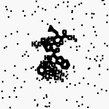 CC(=O)C(=O)C(CC1CC1)NC(=O)[C@@H]1C2C(CN1C(=O)[C@@H](NC(=O)NC1(CS(=O)(=O)C(C)(C)C)CCCCC1)C1Cc3ccccc3C1)C2(C)C